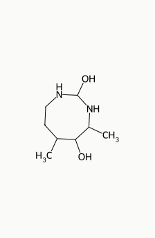 CC1CCNC(O)NC(C)C1O